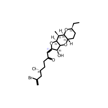 C=C(Br)C[C@H](Cl)CCC(=O)/C=C1/O[C@@H]2C(O[C@H]3CC[C@H](CC)O[C@@H]3[C@@H]2C)[C@H]1O